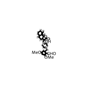 COc1cc(CN2CCN(CC3(O)C(=O)O[C@@H]4C5=C(C)CCC[C@]5(C)CCC43)CC2)c(C=O)c(OC)c1